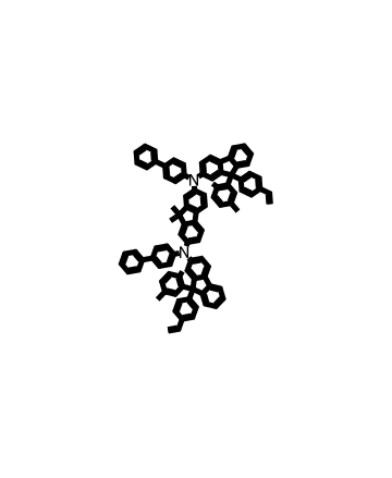 C=Cc1ccc(C2(c3cc(C)ccc3C)c3ccccc3-c3ccc(N(c4ccc(-c5ccccc5)cc4)c4ccc5c(c4)C(C)(C)c4cc(N(c6ccc(-c7ccccc7)cc6)c6ccc7c(c6)C(c6ccc(C=C)cc6)(c6cc(C)ccc6C)c6ccccc6-7)ccc4-5)cc32)cc1